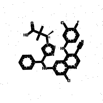 C[C@H](n1cc(C(Nc2cc(Cl)c3ncc(C#N)c(Nc4ccc(F)c(Cl)c4)c3c2)c2ccccc2)nn1)C(C)(C)C(=O)O